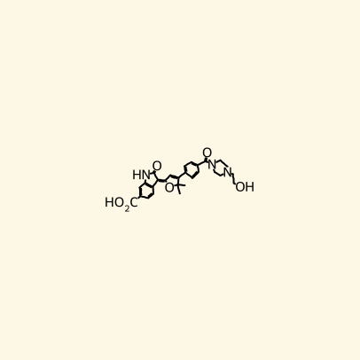 CC1(C)O/C(=C2/C(=O)Nc3cc(C(=O)O)ccc32)C=C1c1ccc(C(=O)N2CCN(CCO)CC2)cc1